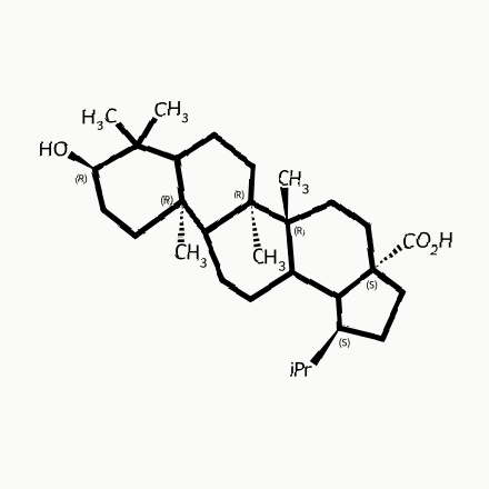 CC(C)[C@@H]1CC[C@]2(C(=O)O)CC[C@]3(C)C(CCC4[C@@]5(C)CC[C@@H](O)C(C)(C)C5CC[C@]43C)C12